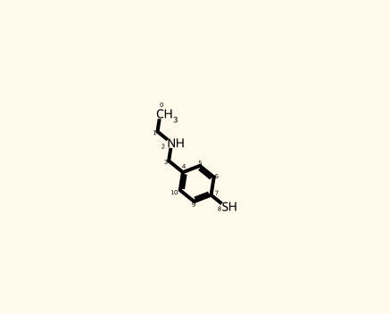 CCNCc1ccc(S)cc1